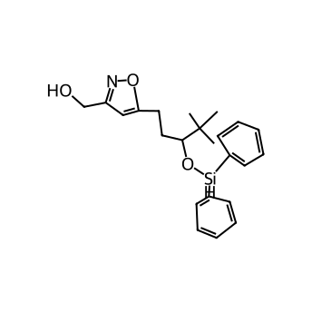 CC(C)(C)C(CCc1cc(CO)no1)O[SiH](c1ccccc1)c1ccccc1